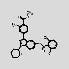 COC(=O)c1ccc(-c2nn(C3CCCCO3)c3ccc(O[C@H](C)c4c(Cl)cncc4Cl)cc23)cc1C